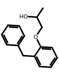 CC(O)COc1ccccc1Cc1ccccc1